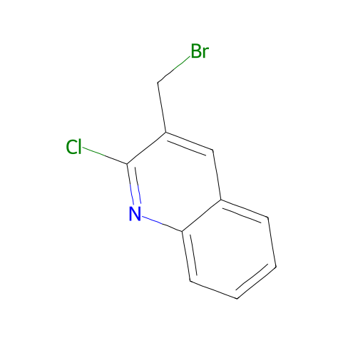 Clc1nc2ccccc2cc1CBr